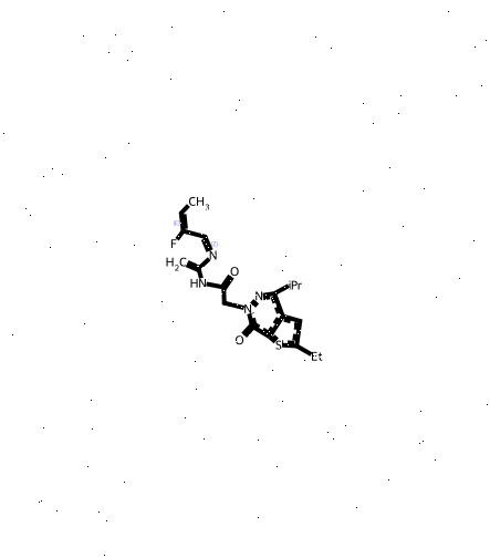 C=C(/N=C\C(F)=C/C)NC(=O)Cn1nc(C(C)C)c2cc(CC)sc2c1=O